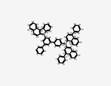 c1ccc(-c2cc(-c3ccc(N(c4cc(-c5ccccc5)c5ccccc5c4)c4ccc(-c5ccccc5)c5ccccc45)cc3)cc(-n3c4ccccc4c4c5ccccc5ccc43)c2)cc1